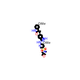 COc1ccc2c(c1)[C@]1(C[C@H]1c1ccc3c(Nc4ncc(S(=O)(=O)N(C)C5(C)COC5)cc4OC)n[nH]c3c1)C(=O)N2